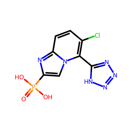 O=P(O)(O)c1cn2c(-c3nnn[nH]3)c(Cl)ccc2n1